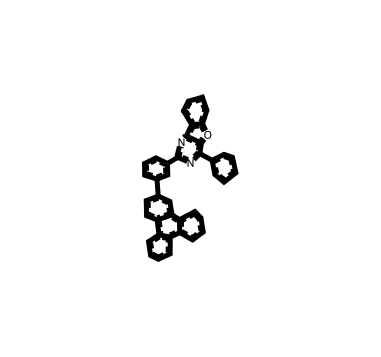 c1ccc(-c2nc(-c3cccc(-c4ccc5c6ccccc6c6ccccc6c5c4)c3)nc3c2oc2ccccc23)cc1